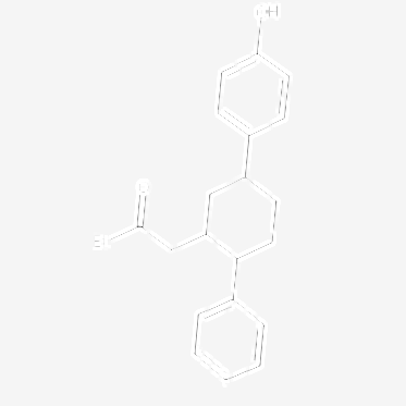 CCC(=O)CC1CC(c2ccc(O)cc2)CCC1c1cc[c]cc1